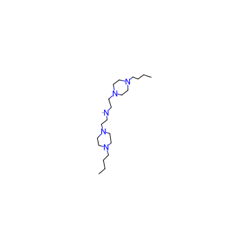 CCCCN1CCN(CC[N]CCN2CCN(CCCC)CC2)CC1